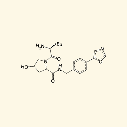 CC(C)(C)[C@H](N)C(=O)N1CC(O)CC1C(=O)NCc1ccc(-c2cnco2)cc1